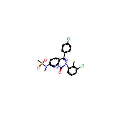 Cc1c(Cl)cccc1N(/N=C(/c1ccc(Cl)cc1)c1ccc(N(C)S(C)(=O)=O)cc1)C(N)=O